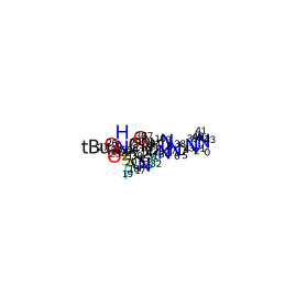 C[C@@H]1CN([C@@H]2CCN(c3ncc4c5c(c(-c6ncc(F)c7sc(NC(=O)OC(C)(C)C)c(C#N)c67)c(F)c4n3)COC5)C2)C[C@H](C)N1C